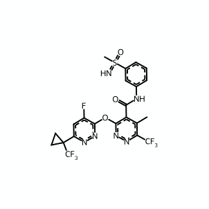 Cc1c(C(F)(F)F)nnc(Oc2nnc(C3(C(F)(F)F)CC3)cc2F)c1C(=O)Nc1cccc(S(C)(=N)=O)c1